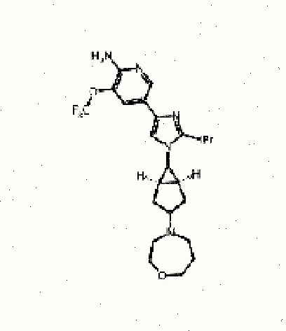 CC(C)c1nc(-c2cnc(N)c(OC(F)(F)F)c2)cn1C1[C@H]2CC(N3CCCOCC3)C[C@@H]12